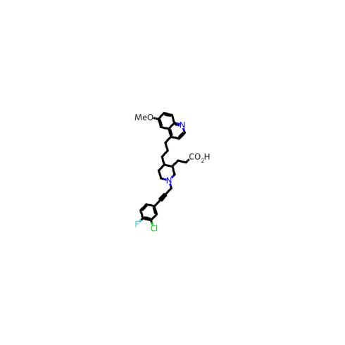 COc1ccc2nccc(CCCC3CCN(CC#Cc4ccc(F)c(Cl)c4)CC3CCC(=O)O)c2c1